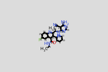 CCNC(=O)c1c(-c2ccccn2)c([C@H](C)Nc2ncnc(N)c2C#N)nc2ccc(F)cc12